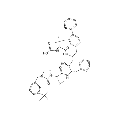 CC(C)(C)c1cccc(CN2CCN([C@H](C(=O)N[C@@H](Cc3ccccc3)[C@@H](O)C[C@@H](Cc3ccc(-c4ccccn4)cc3)NC(=O)[C@@H](NC(=O)O)C(C)(C)C)C(C)(C)C)C2=O)n1